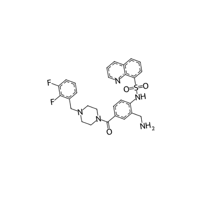 NCc1cc(C(=O)N2CCN(Cc3cccc(F)c3F)CC2)ccc1NS(=O)(=O)c1cccc2cccnc12